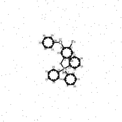 Fc1ccc(C[PH](c2ccccc2)(c2ccccc2)c2ccccc2)cc1Oc1ccccc1